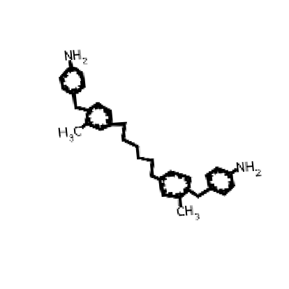 Cc1cc(CCCCCCc2ccc(Cc3ccc(N)cc3)c(C)c2)ccc1Cc1ccc(N)cc1